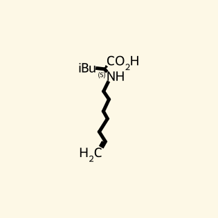 C=CCCCCCN[C@H](C(=O)O)C(C)CC